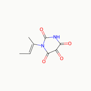 CC=C(C)N1C(=O)NC(=O)C(=O)C1=O